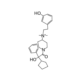 C[N+](C)(CCc1cccc(O)c1)C1CCN(C(=O)C(O)(c2ccccc2)C2CCCC2)CC1